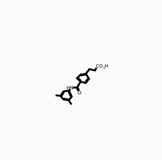 Cc1cc(C)cc(NC(=O)c2ccc(CCC(=O)O)cc2)c1